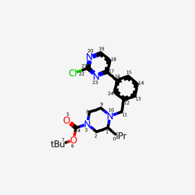 CC(C)C1CN(C(=O)OC(C)(C)C)CCN1Cc1cccc(-c2ccnc(Cl)n2)c1